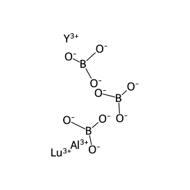 [Al+3].[Lu+3].[O-]B([O-])[O-].[O-]B([O-])[O-].[O-]B([O-])[O-].[Y+3]